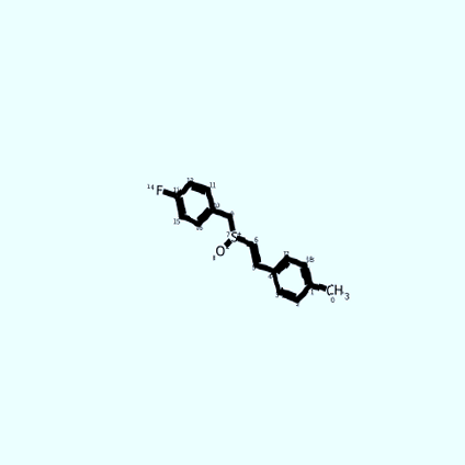 Cc1ccc(C=C[S+]([O-])Cc2ccc(F)cc2)cc1